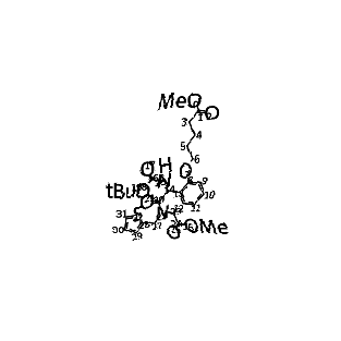 COC(=O)CCCCOc1ccccc1C(NC(=O)OC(C)(C)C)C(=O)N(CC(=O)OC)Cc1cccs1